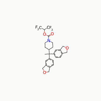 CC(c1ccc2c(c1)COC2)(c1ccc2c(c1)COC2)C1CCN(C(=O)OC(C(F)(F)F)C(F)(F)F)CC1